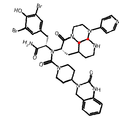 NC(=O)[C@H](Cc1cc(Br)c(O)c(Br)c1)N(C(=O)N1CCC(N2Cc3ccccc3NC2=O)CC1)[C@@H](CC1CCNCC1)C(=O)N1CCN(c2ccncc2)CC1